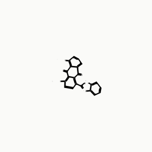 CC(=O)Oc1cccc2c1C(=O)c1c(OC(C)=O)ccc(-c3nc4ccccc4[nH]3)c1C2=O